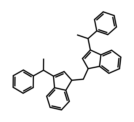 CC(C1=CC(CC2C=C(C(C)c3ccccc3)c3ccccc32)c2ccccc21)c1ccccc1